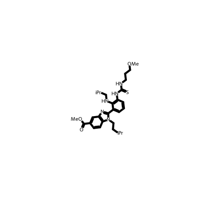 COCCCNC(=S)Nc1cccc(-c2nc3cc(C(=O)OC)ccc3n2CCC(C)C)c1NCC(C)C